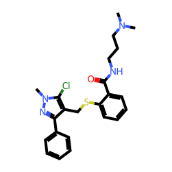 CN(C)CCCNC(=O)c1ccccc1SCc1c(-c2ccccc2)nn(C)c1Cl